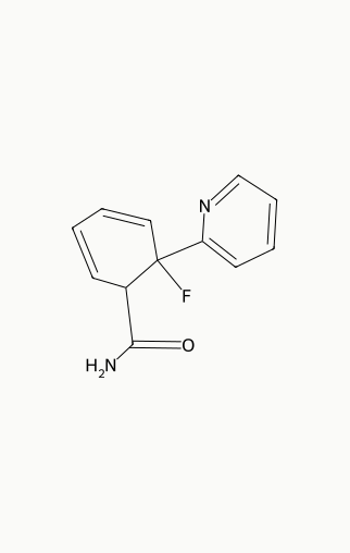 NC(=O)C1C=CC=CC1(F)c1ccccn1